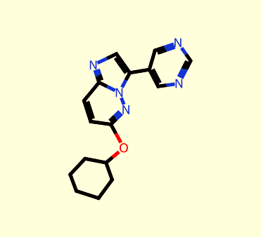 c1ncc(-c2cnc3ccc(OC4CCCCC4)nn23)cn1